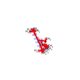 CC(=O)NC1C(CCCC(=O)C(=O)NCCCCC(=O)NCCN(CCNC(=O)CCCCNC(=O)C(=O)CCCC2OC(COC(C)=O)C(OC(C)=O)C(OC(C)=O)C2NC(C)=O)C(=O)CC[C@H](NC(=O)CCCCNC(=O)C(=O)CCCC2OC(COC(C)=O)C(OC(C)=O)C(OC(C)=O)C2NC(C)=O)C(=O)NCCOc2ccccc2COC(C)=O)OC(COC(C)=O)C(OC(C)=O)C1OC(C)=O